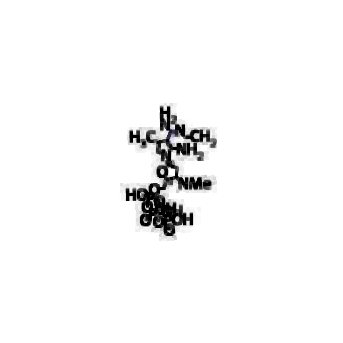 C=C/N=C(/N)c1c(C)cn([C@H]2CC(NC)[C@@H](COP(=O)(O)OP(=O)(O)OP(=O)(O)O)O2)c1N